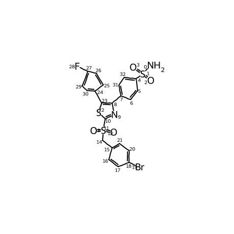 NS(=O)(=O)c1ccc(-c2nc(S(=O)(=O)Cc3ccc(Br)cc3)sc2-c2ccc(F)cc2)cc1